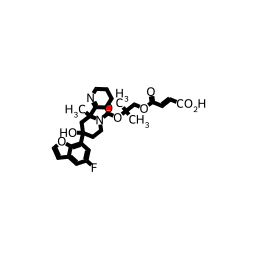 CC(C)(COC(=O)/C=C/C(=O)O)OC(=O)N1CCC(O)(c2cc(F)cc3ccoc23)CC1(C)C1=NCCCC1